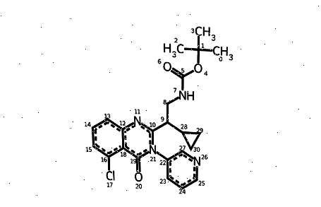 CC(C)(C)OC(=O)NCC(c1nc2cccc(Cl)c2c(=O)n1-c1cccnc1)C1CC1